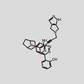 Nc1nnc(-c2ccccc2O)cc1N1CC2CCC(C1)N2c1ccnc(C#CCN2Cc3cn[nH]c3C2)c1